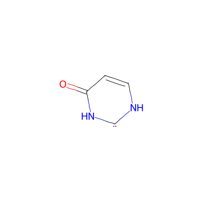 O=C1C=CN[C]N1